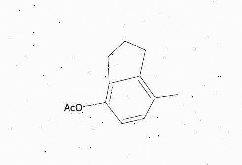 CC(=O)Oc1ccc(C)c2c1CCC2